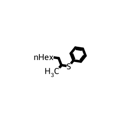 CCCCCCC[C](C)Sc1ccccc1